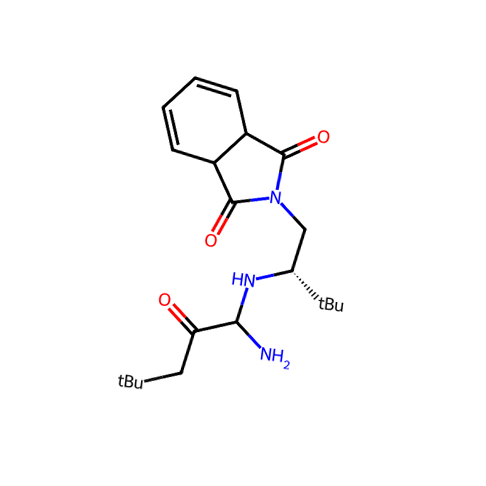 CC(C)(C)CC(=O)C(N)N[C@H](CN1C(=O)C2C=CC=CC2C1=O)C(C)(C)C